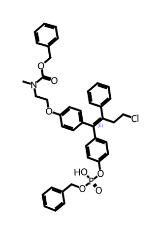 CN(CCOc1ccc(/C(=C(/CCCl)c2ccccc2)c2ccc(OP(=O)(O)OCc3ccccc3)cc2)cc1)C(=O)OCc1ccccc1